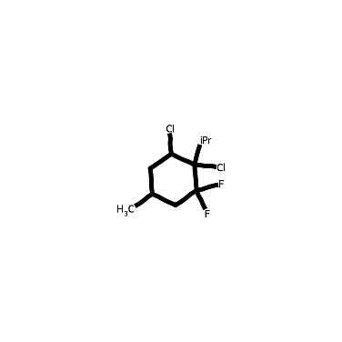 CC1CC(Cl)C(Cl)(C(C)C)C(F)(F)C1